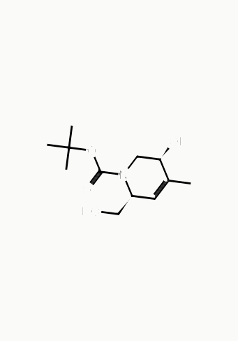 CC1=C[C@@H](CO)N(C(=O)OC(C)(C)C)C[C@H]1O